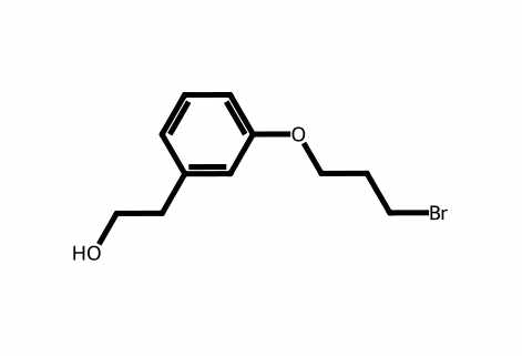 OCCc1cccc(OCCCBr)c1